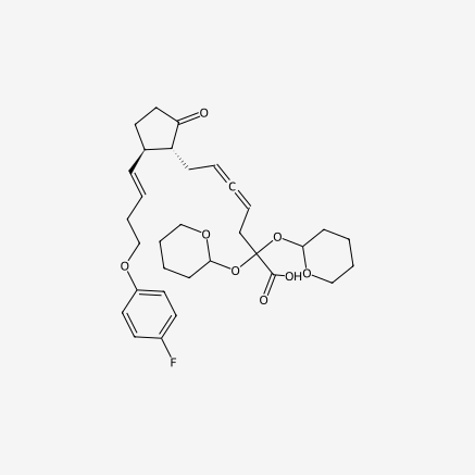 O=C1CC[C@H](/C=C/CCOc2ccc(F)cc2)[C@H]1CC=C=CCC(OC1CCCCO1)(OC1CCCCO1)C(=O)O